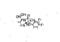 CC1(Oc2ccc(F)c(F)c2)C(=O)N2C(C(=O)O)=CCS[C@H]21